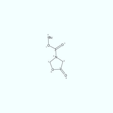 CC(C)(C)OC(=O)N1COC(=O)C1